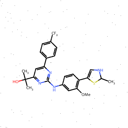 COc1cc(Nc2nc(-c3ccc(C(F)(F)F)cc3)cc(C(C)(C)O)n2)ccc1C1=CNC(C)S1